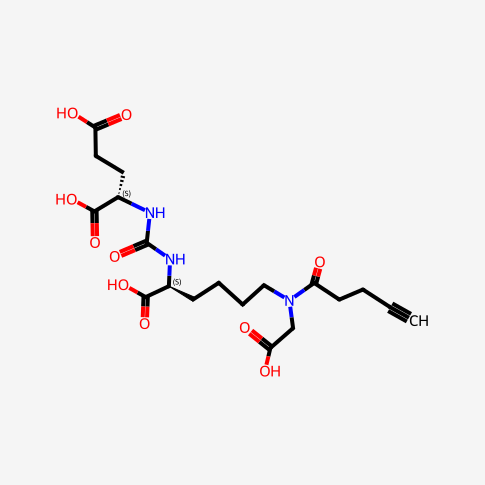 C#CCCC(=O)N(CCCC[C@H](NC(=O)N[C@@H](CCC(=O)O)C(=O)O)C(=O)O)CC(=O)O